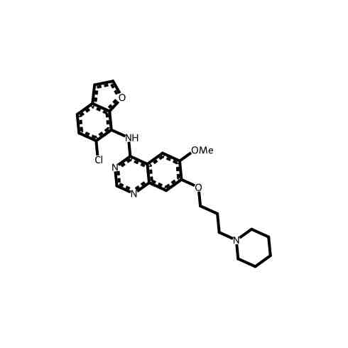 COc1cc2c(Nc3c(Cl)ccc4ccoc34)ncnc2cc1OCCCN1CCCCC1